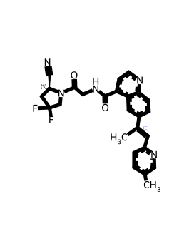 C/C(=C\c1ccc(C)cn1)c1ccc2nccc(C(=O)NCC(=O)N3CC(F)(F)C[C@H]3C#N)c2c1